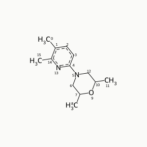 Cc1ccc(N2CC(C)OC(C)C2)nc1C